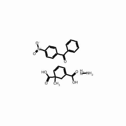 CC1(C(=O)O)C=CC=C(C(=O)O)C1.NN.O=C(c1ccccc1)c1ccc([N+](=O)[O-])cc1